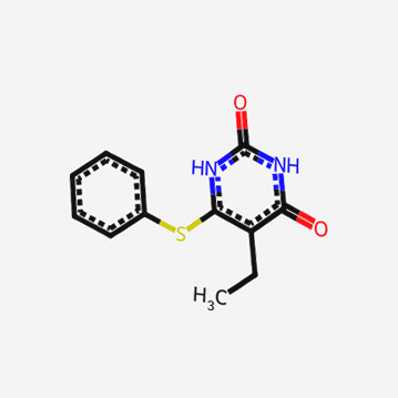 CCc1c(Sc2ccccc2)[nH]c(=O)[nH]c1=O